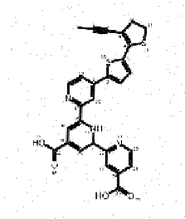 CC#CC1=C(c2ccc(-c3ccnc(C4=CC(C(=O)O)=CC(c5cc(C(=O)O)ccn5)N4)c3)s2)SCC1